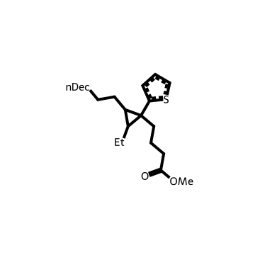 CCCCCCCCCCCCC1C(CC)C1(CCCC(=O)OC)c1cccs1